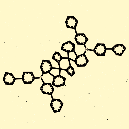 c1ccc(-c2ccc(N(c3ccc(-c4ccccc4)cc3)c3cccc4c3-c3ccccc3C43c4ccccc4C4(c5ccccc5-c5c(N(c6ccc(-c7ccccc7)cc6)c6ccc(-c7ccccc7)cc6)cccc54)c4ccccc43)cc2)cc1